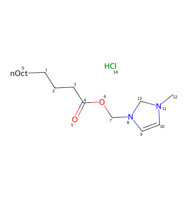 CCCCCCCCCCCC(=O)OCN1C=CN(C)C1.Cl